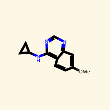 COc1ccc2c(NC3CC3)ncnc2c1